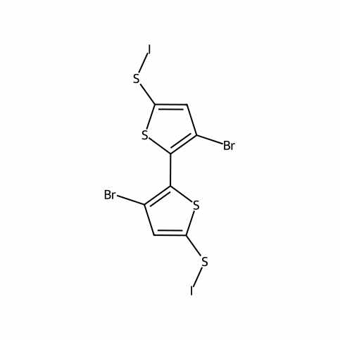 Brc1cc(SI)sc1-c1sc(SI)cc1Br